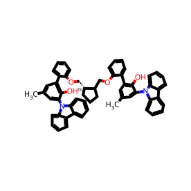 Cc1cc(-c2ccccc2OCC2CCC[C@@H]2COc2ccccc2-c2cc(C)cc(-n3c4ccccc4c4ccccc43)c2O)c(O)c(-n2c3ccccc3c3ccccc32)c1